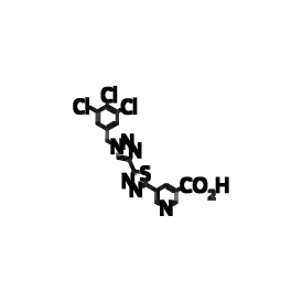 O=C(O)c1cncc(-c2nnc(-c3cn(Cc4cc(Cl)c(Cl)c(Cl)c4)nn3)s2)c1